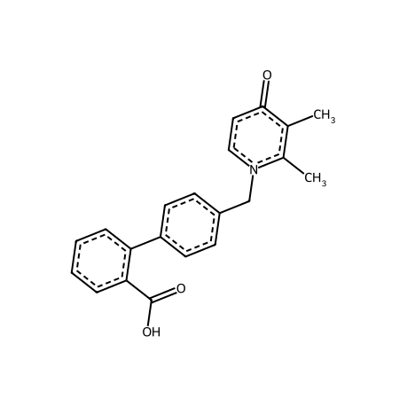 Cc1c(C)n(Cc2ccc(-c3ccccc3C(=O)O)cc2)ccc1=O